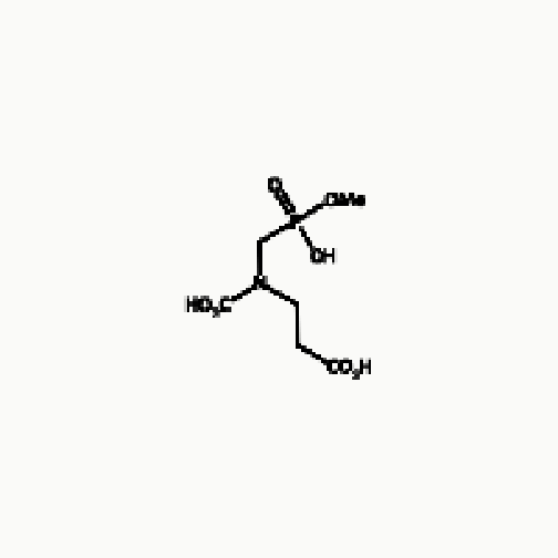 COP(=O)(O)CN(CCC(=O)O)C(=O)O